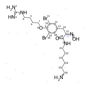 N=C(N)NCCCCOc1c(Br)cc(C/C(=N/O)C(=O)NCCCCCCN)cc1Br